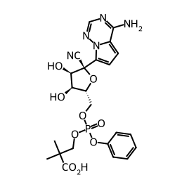 CC(C)(COP(=O)(OC[C@H]1O[C@@](C#N)(c2ccc3c(N)ncnn23)[C@H](O)[C@@H]1O)Oc1ccccc1)C(=O)O